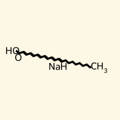 CCCCCCCCCC=CC=CC=CC=CC=CC=CC(=O)O.[NaH]